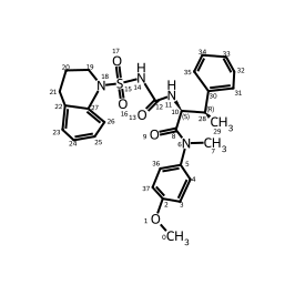 COc1ccc(N(C)C(=O)[C@@H](NC(=O)NS(=O)(=O)N2CCCc3ccccc32)[C@H](C)c2ccccc2)cc1